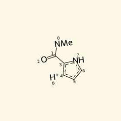 CNC(=O)c1ccc[nH]1.[H+]